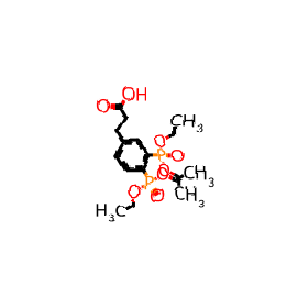 CCOP(=O)(OCC)c1ccc(CCC(=O)O)cc1P(=O)(OCC)OCC